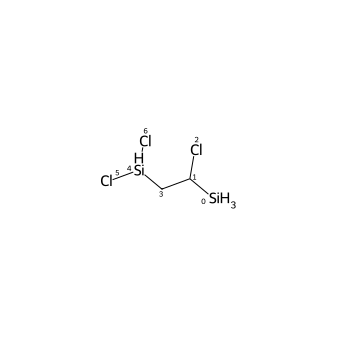 [SiH3]C(Cl)C[SiH](Cl)Cl